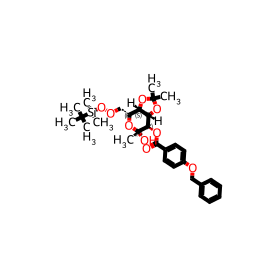 CC1(C)O[C@@H]2[C@H](O1)[C@@H](OC(=O)c1ccc(OCc3ccccc3)cc1)[C@](C)(O)O[C@@H]2COO[Si](C)(C)C(C)(C)C